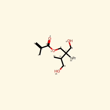 C=C(C)C(=O)OCC(CO)(CCC)C(C)CO